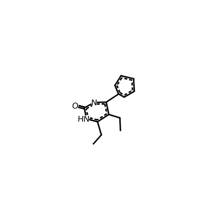 CCc1[nH]c(=O)nc(-c2ccccc2)c1CC